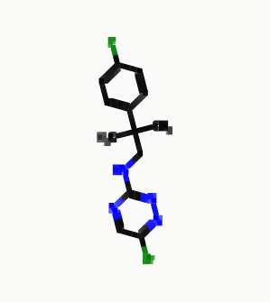 CC(C)(CNc1ncc(Br)nn1)c1ccc(F)cc1